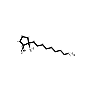 CCCCCCCCCC1(O)CCCC1O